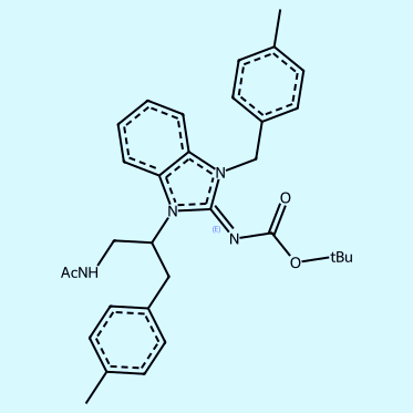 CC(=O)NCC(Cc1ccc(C)cc1)n1/c(=N/C(=O)OC(C)(C)C)n(Cc2ccc(C)cc2)c2ccccc21